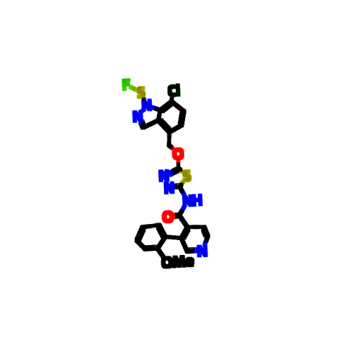 COc1ccccc1-c1cnccc1C(=O)Nc1nnc(OCc2ccc(Cl)c3c2cnn3SF)s1